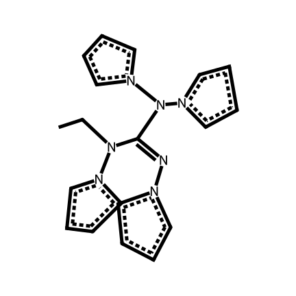 CCN(C(=Nn1cccc1)N(n1cccc1)n1cccc1)n1cccc1